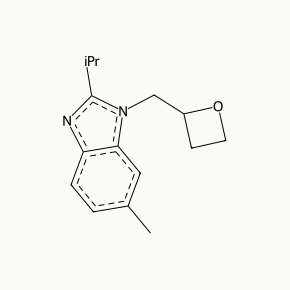 Cc1ccc2nc(C(C)C)n(CC3CCO3)c2c1